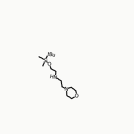 CC(C)(C)[Si](C)(C)OCCNCCN1CCOCC1